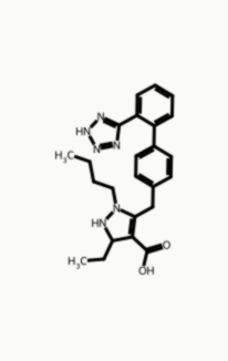 CCCCN1NC(CC)C(C(=O)O)=C1Cc1ccc(-c2ccccc2-c2nn[nH]n2)cc1